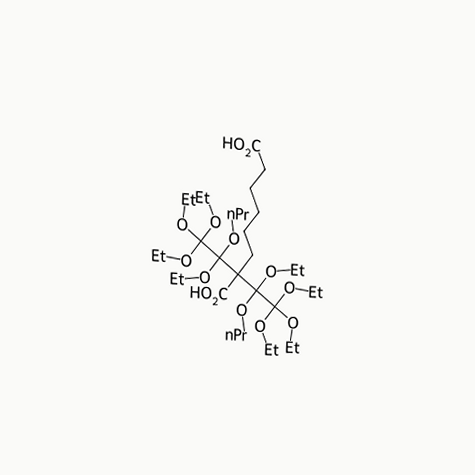 CCCOC(OCC)(C(OCC)(OCC)OCC)C(CCCCCC(=O)O)(C(=O)O)C(OCC)(OCCC)C(OCC)(OCC)OCC